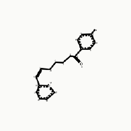 Cc1ccc(C(=O)CCCC/C=C\c2ccccn2)cc1